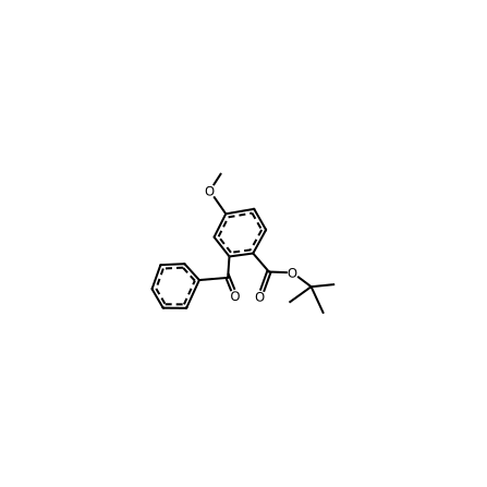 COc1ccc(C(=O)OC(C)(C)C)c(C(=O)c2ccccc2)c1